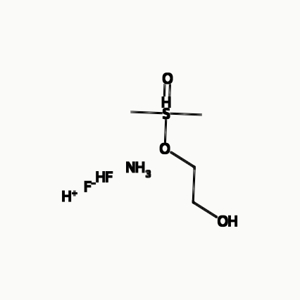 C[SH](C)(=O)OCCO.F.N.[F-].[H+]